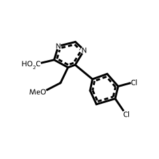 COCc1c(C(=O)O)ncnc1-c1ccc(Cl)c(Cl)c1